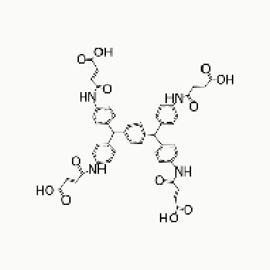 O=C(O)/C=C/C(=O)Nc1ccc(C(c2ccc(NC(=O)/C=C/C(=O)O)cc2)c2ccc(C(c3ccc(NC(=O)/C=C/C(=O)O)cc3)c3ccc(NC(=O)/C=C/C(=O)O)cc3)cc2)cc1